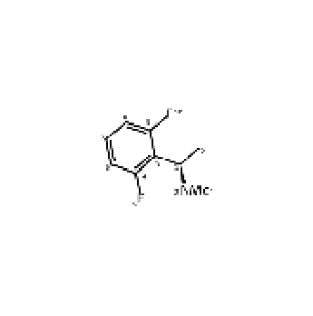 C[N][C@H](C)c1c(F)cccc1F